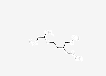 CCC(C)OCCC(COO)COO